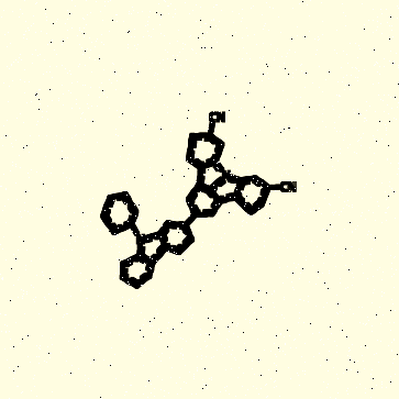 N#Cc1ccc2c3cc(-c4ccc5c6ccccc6n(-c6ccccc6)c5c4)cc4c5ccc(C#N)cc5n(c2c1)c34